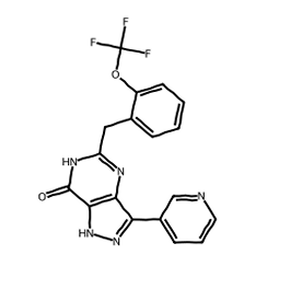 O=c1[nH]c(Cc2ccccc2OC(F)(F)F)nc2c(-c3cccnc3)n[nH]c12